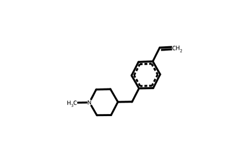 C=Cc1ccc(CC2CCN(C)CC2)cc1